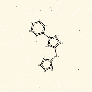 c1ccc(-c2nnc(Sc3nccs3)s2)cc1